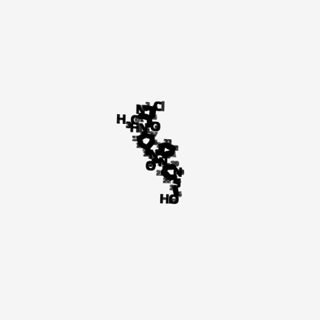 Cc1ncc(Cl)cc1C(=O)NC1CCC(Cn2c(=O)n(-c3ccc(SCCO)nc3)c3ccccc32)CC1